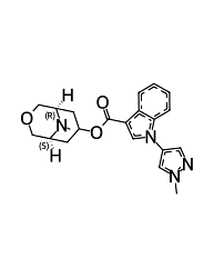 CN1[C@@H]2COC[C@H]1CC(OC(=O)c1cn(-c3cnn(C)c3)c3ccccc13)C2